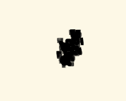 Cc1ccc(F)c2[nH]c(-c3cncc(C(=O)NCC(F)(F)F)c3N3CCC(C)C3)nc12